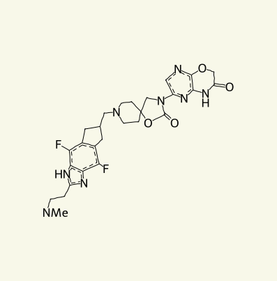 CNCCc1nc2c(F)c3c(c(F)c2[nH]1)CC(CN1CCC2(CC1)CN(c1cnc4c(n1)NC(=O)CO4)C(=O)O2)C3